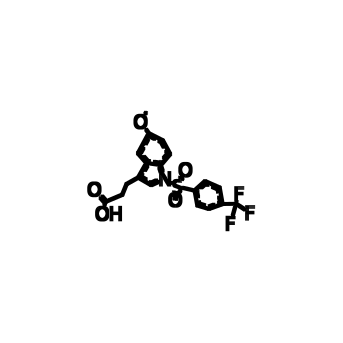 COc1ccc2c(c1)c(CCC(=O)O)cn2S(=O)(=O)c1ccc(C(F)(F)F)cc1